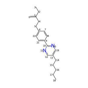 C=C(CC)CCc1ccc(-c2ncc(CCCCC)cn2)cc1